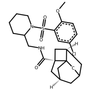 COc1ccc(Cl)cc1S(=O)(=O)N1CCCCC1CNC(=O)[C@]12C[C@@H]3CC4C[C@H](C1)C2(C4)C3